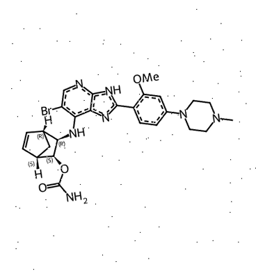 COc1cc(N2CCN(C)CC2)ccc1-c1nc2c(N[C@H]3[C@@H](OC(N)=O)[C@@H]4C=C[C@H]3C4)c(Br)cnc2[nH]1